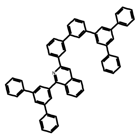 c1ccc(-c2cc(-c3ccccc3)cc(-c3cccc(-c4cccc(-c5cc6ccccc6c(-c6cc(-c7ccccc7)cc(-c7ccccc7)c6)n5)c4)c3)c2)cc1